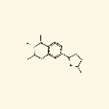 CC1CCN(c2ccc3c(c2)CC(C)[C@H](C)N3C)C1